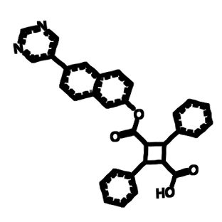 O=C(O)C1C(c2ccccc2)C(C(=O)Oc2ccc3cc(-c4cncnc4)ccc3c2)C1c1ccccc1